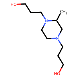 CC1CN(CCCO)CCN1CCCO